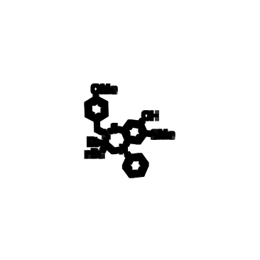 CCCCC1(CC)CN(c2ccccc2)c2cc(SC)c(O)cc2SN1Cc1ccc(OC)cc1